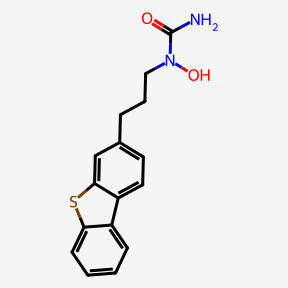 NC(=O)N(O)CCCc1ccc2c(c1)sc1ccccc12